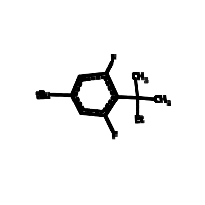 CCC(C)(C)c1c(F)cc(C(C)(C)C)cc1F